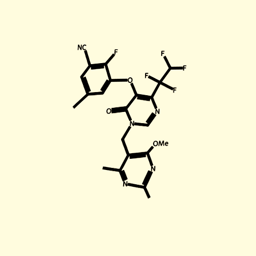 COc1nc(C)nc(C)c1Cn1cnc(C(F)(F)C(F)F)c(Oc2cc(C)cc(C#N)c2F)c1=O